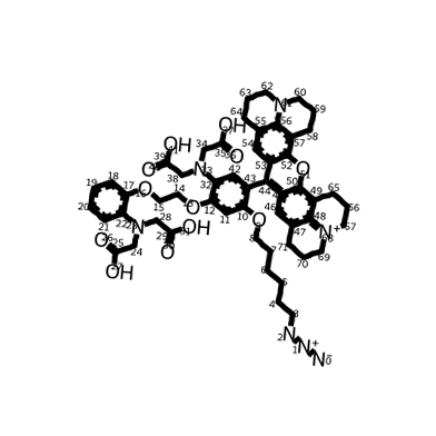 [N-]=[N+]=NCCCCCCOc1cc(OCCOc2ccccc2N(CC(=O)O)CC(=O)O)c(N(CC(=O)O)CC(=O)O)cc1C1=c2cc3c4c(c2Oc2c1cc1c5c2CCCN5CCC1)CCC[N+]=4CCC3